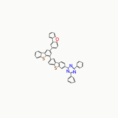 c1ccc(-c2nc(-c3ccccc3)nc(-c3ccc4c(c3)sc3ccc(-c5cc(-c6ccc7oc8ccccc8c7c6)cc6c5sc5ccccc56)cc34)n2)cc1